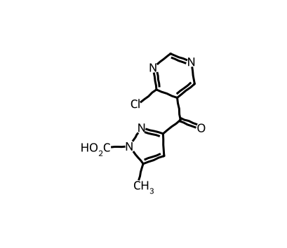 Cc1cc(C(=O)c2cncnc2Cl)nn1C(=O)O